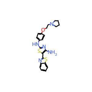 Nc1nc(Nc2ccc(OCCN3CCCC3)cc2)sc1-c1nc2ccccc2s1